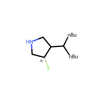 CCCCC(CCCC)C1CNC[C@H]1F